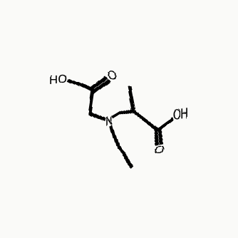 CCN(CC(=O)O)C(C)C(=O)O